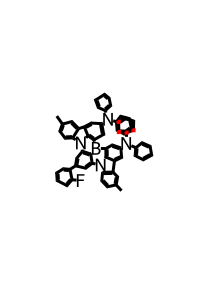 Cc1ccc2c(c1)c1cc(N(c3ccccc3)c3ccccc3)cc3c1n2-c1cc(-c2ccccc2F)cc2c1B3c1cc(N(c3ccccc3)c3ccccc3)cc3c4cc(C)ccc4n-2c13